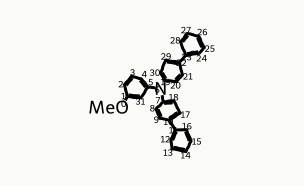 COc1cccc(N(c2ccc(-c3ccccc3)cc2)c2ccc(-c3ccccc3)cc2)c1